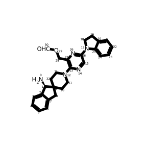 N[C@@H]1c2ccccc2CC12CCN(c1ncc(N3CCc4ccccc43)nc1COC=O)CC2